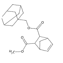 COC(=O)C1C2C=CC(C2)C1C(=O)OCC12CC3CC(CC(C3)C1)C2